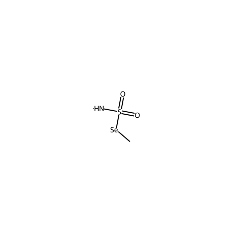 C[Se]S([NH])(=O)=O